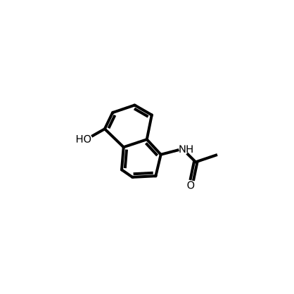 CC(=O)Nc1cccc2c(O)cccc12